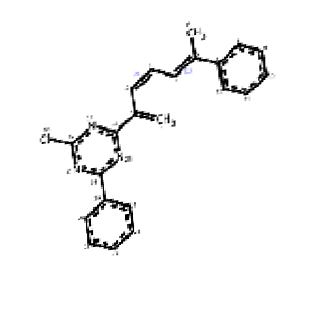 C=C(/C=C\C=C(/C)c1ccccc1)c1nc(Cl)nc(-c2ccccc2)n1